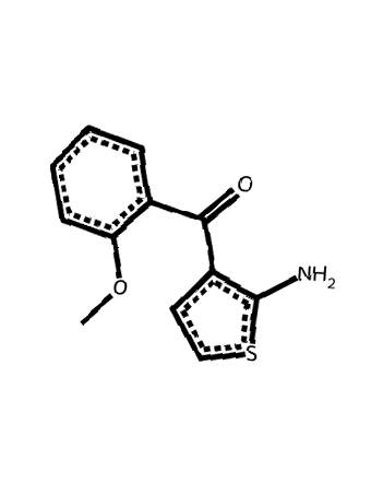 COc1ccccc1C(=O)c1ccsc1N